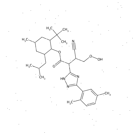 Cc1ccc(C)c(-c2n[nH]c(C(C(=O)OC3C(CC(C)C)CC(C)CC3C(C)(C)C)C(C#N)COO)n2)c1